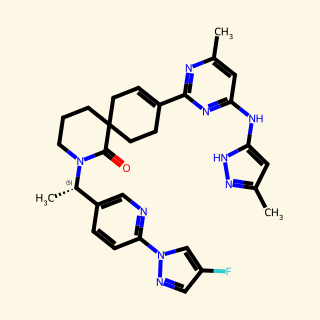 Cc1cc(Nc2cc(C)nc(C3=CCC4(CCCN([C@@H](C)c5ccc(-n6cc(F)cn6)nc5)C4=O)CC3)n2)[nH]n1